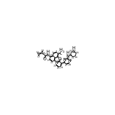 Cc1ccc2c(NC(=O)C3CC34CC4)cccc2c1Oc1ncccc1-c1ccnc(NC2CCCNC2)n1